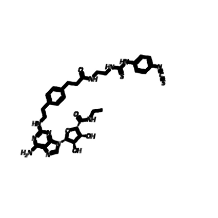 CCNC(=O)[C@H]1O[C@@H](n2cnc3c(N)nc(NCCc4ccc(CCC(=O)NCCNC(=S)Nc5ccc(N=C=S)cc5)cc4)nc32)[C@H](O)[C@@H]1O